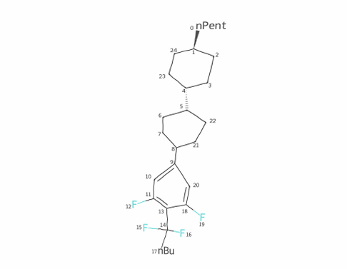 CCCCC[C@H]1CC[C@H](C2CCC(c3cc(F)c(C(F)(F)CCCC)c(F)c3)CC2)CC1